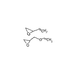 C=CC1CO1.C=COCC1CO1